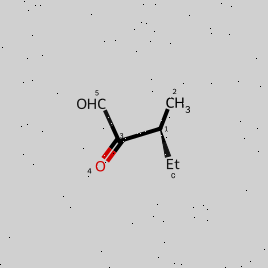 CC[C@H](C)C(=O)C=O